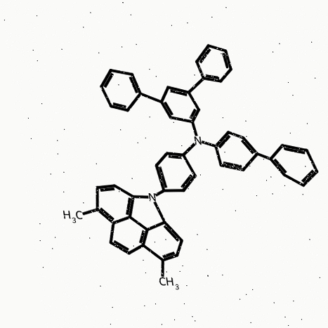 Cc1ccc2c3c1ccc1c(C)ccc(c13)n2-c1ccc(N(c2ccc(-c3ccccc3)cc2)c2cc(-c3ccccc3)cc(-c3ccccc3)c2)cc1